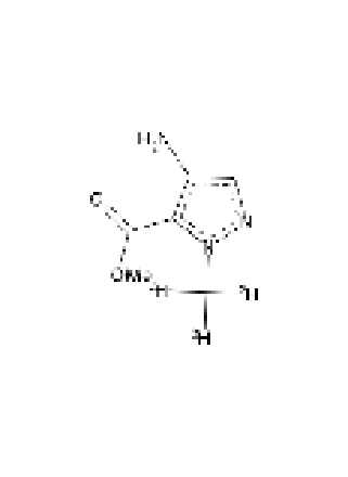 [2H]C([2H])([2H])n1ncc(N)c1C(=O)OC